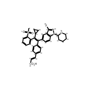 CS(=O)(=O)c1ccccc1C(=C(c1ccc(C=CC(=O)O)cc1)c1ccc2c(c1)c(F)nn2C1CCCCO1)C1CC1